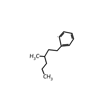 CCCC(C)CCc1[c]cccc1